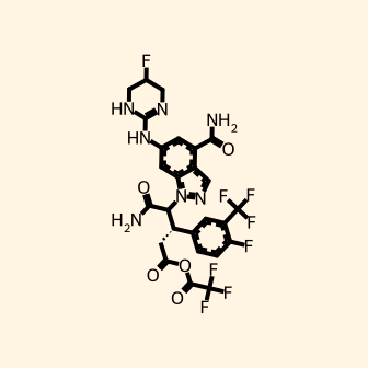 NC(=O)c1cc(NC2=NCC(F)CN2)cc2c1cnn2C(C(N)=O)[C@@H](CC(=O)OC(=O)C(F)(F)F)c1ccc(F)c(C(F)(F)F)c1